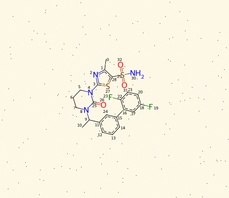 Cc1nc(N2CCCN(C(C)c3cccc(-c4cc(F)ccc4F)c3)C2=O)sc1S(N)(=O)=O